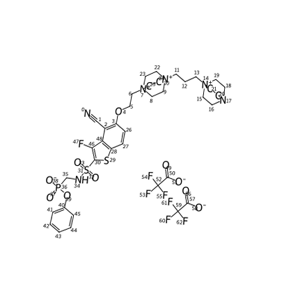 N#Cc1c(OCC[N+]23CC[N+](CCC[N+]45CCN(CC4)CC5)(CC2)CC3)ccc2sc(S(=O)(=O)NCP(=O)([O-])Oc3ccccc3)c(F)c12.O=C([O-])C(F)(F)F.O=C([O-])C(F)(F)F